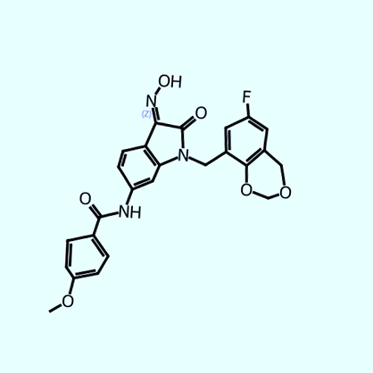 COc1ccc(C(=O)Nc2ccc3c(c2)N(Cc2cc(F)cc4c2OCOC4)C(=O)/C3=N\O)cc1